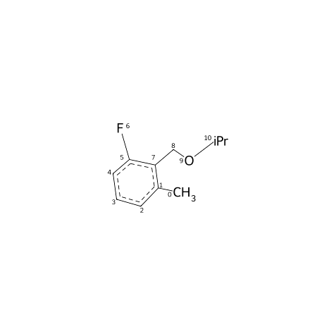 Cc1cccc(F)c1COC(C)C